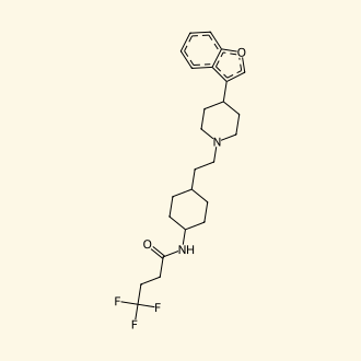 O=C(CCC(F)(F)F)NC1CCC(CCN2CCC(c3coc4ccccc34)CC2)CC1